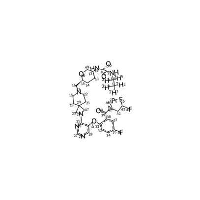 [2H]C([2H])([2H])C([2H])([2H])NS(=O)(=O)N[C@@H]1CC[C@@H](CN2CCC3(CC2)CN(c2ncncc2Oc2ccc(F)cc2C(=O)N(CC(F)F)C(C)C)C3)OC1